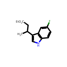 CCOC(=O)CC(C)c1c[nH]c2ccc(F)cc12